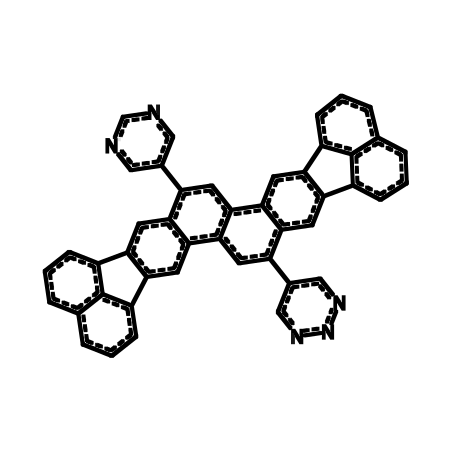 c1cc2c3c(cccc3c1)-c1cc3c(cc1-2)c(-c1cncnc1)cc1c2cc4c(cc2c(-c2cnnnc2)cc31)-c1cccc2cccc-4c12